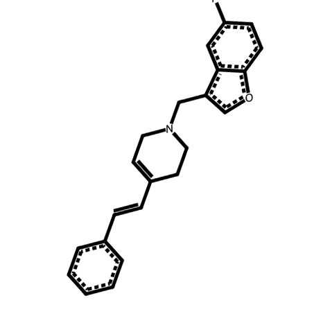 Fc1ccc2occ(CN3CC=C(/C=C/c4ccccc4)CC3)c2c1